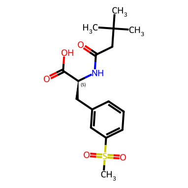 CC(C)(C)CC(=O)N[C@@H](Cc1cccc(S(C)(=O)=O)c1)C(=O)O